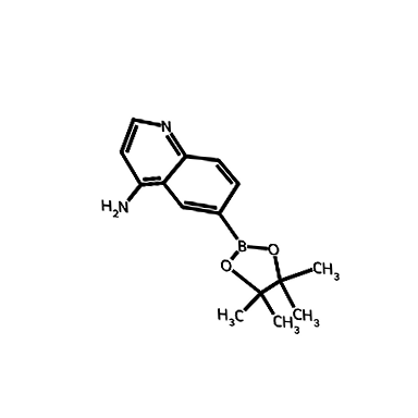 CC1(C)OB(c2ccc3nccc(N)c3c2)OC1(C)C